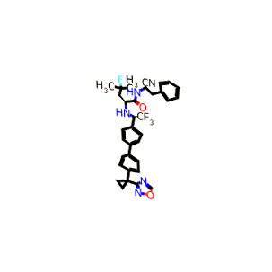 CC(C)(F)C[C@H](N[C@@H](c1ccc(-c2ccc(C3(c4ncon4)CC3)cc2)cc1)C(F)(F)F)C(=O)N[C@H](C#N)Cc1ccccc1